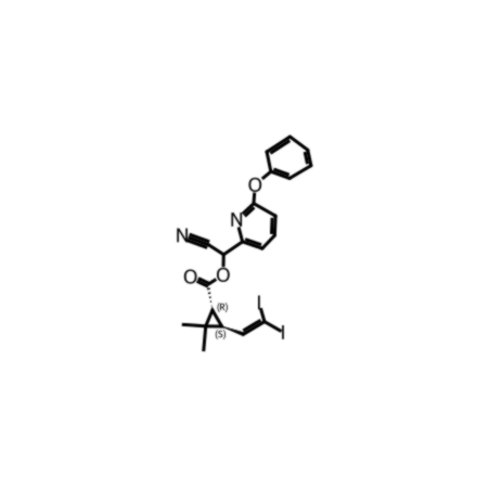 CC1(C)[C@H](C=C(I)I)[C@H]1C(=O)OC(C#N)c1cccc(Oc2ccccc2)n1